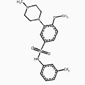 COc1ccc(S(=O)(=O)Nc2cccc(C)c2)cc1N1CCN(C)CC1